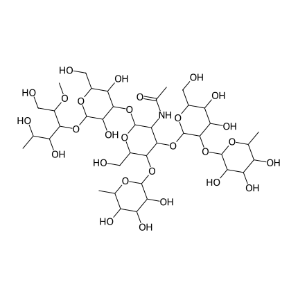 COC(CO)C(OC1OC(CO)C(O)C(OC2OC(CO)C(OC3OC(C)C(O)C(O)C3O)C(OC3OC(CO)C(O)C(O)C3OC3OC(C)C(O)C(O)C3O)C2NC(C)=O)C1O)C(O)C(C)O